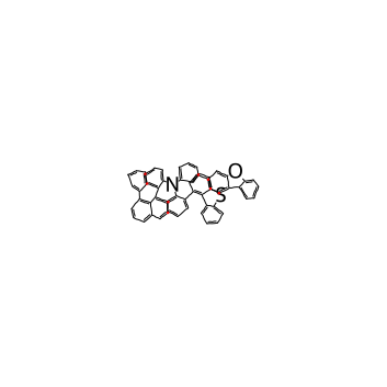 c1ccc(-c2cccc3cccc(-c4ccccc4N(c4cccc(-c5ccc6c(c5)oc5ccccc56)c4)c4ccccc4-c4cccc5sc6ccccc6c45)c23)cc1